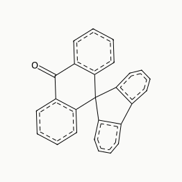 O=C1c2ccccc2C2(c3ccccc31)c1ccccc1-c1ccccc12